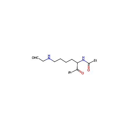 CCC(=O)NC(CCCCNCC=O)C(=O)C(C)C